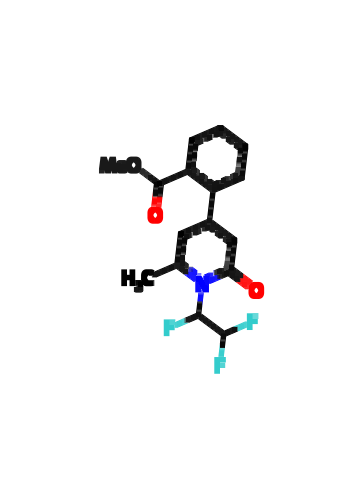 COC(=O)c1ccccc1-c1cc(C)n(C(F)C(F)F)c(=O)c1